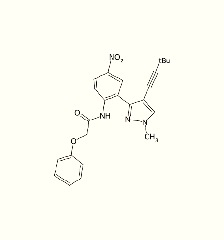 Cn1cc(C#CC(C)(C)C)c(-c2cc([N+](=O)[O-])ccc2NC(=O)COc2ccccc2)n1